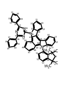 CC1(C)CC(C)(C)c2c(-n3c4ccccc4c4c5c6ccccc6n(-c6nc(-c7ccccc7)nc(-c7ccccc7)n6)c5c5ccccc5c43)cccc21